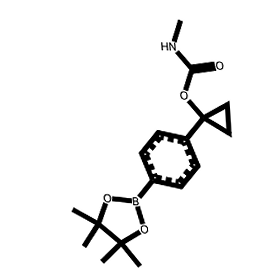 CNC(=O)OC1(c2ccc(B3OC(C)(C)C(C)(C)O3)cc2)CC1